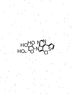 OC[C@H]1O[C@@H](n2cc(Cl)c3c(-c4cccs4)ncnc32)C(O)[C@@H]1O